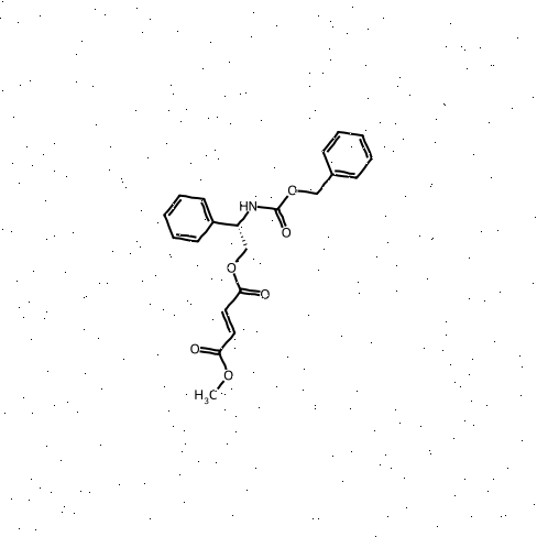 COC(=O)/C=C/C(=O)OC[C@@H](NC(=O)OCc1ccccc1)c1ccccc1